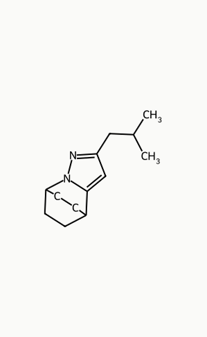 CC(C)Cc1cc2n(n1)C1CCC2CC1